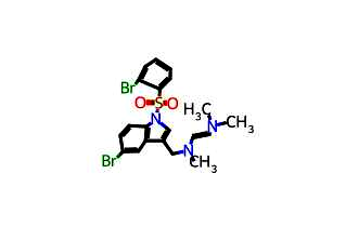 CN(C)/C=C/N(C)Cc1cn(S(=O)(=O)c2ccccc2Br)c2ccc(Br)cc12